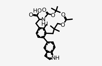 CC(=O)OCC(C)(C)Cc1c(-c2ccc3[nH]ccc3c2)ccc(CC(NC(=O)OC(C)(C)C)C(=O)O)c1I